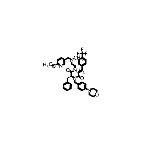 COc1ccc(CN(C)CCN(C)C(=O)[C@H](Cc2ccccc2)N(Cc2ccc(N3CCOCC3)cc2)C(=O)C=Cc2ccc(C(F)(F)F)cc2)cn1